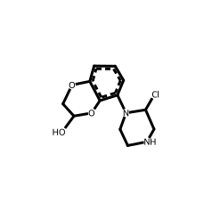 OC1COc2cccc(N3CCNCC3Cl)c2O1